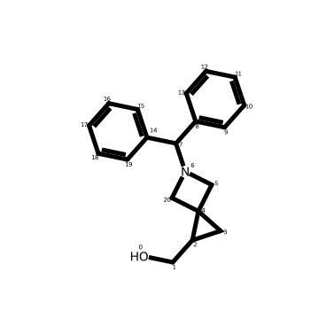 OCC1CC12CN(C(c1ccccc1)c1ccccc1)C2